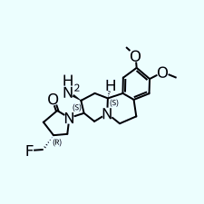 COc1cc2c(cc1OC)[C@@H]1C[C@H](N)C(N3C[C@H](CF)CC3=O)CN1CC2